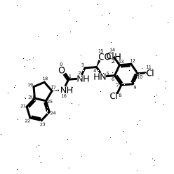 O=C(NC[C@H](Nc1c(Cl)cc(Cl)cc1Cl)C(=O)O)N[C@H]1CCc2ccccc21